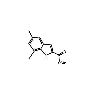 COC(=O)c1cc2cc(C)cc(I)c2[nH]1